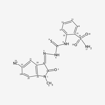 CN1C(=O)C(=NNC(=S)Nc2ccccc2S(N)(=O)=O)c2cc(C#N)ccc21